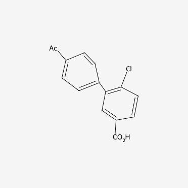 CC(=O)c1ccc(-c2cc(C(=O)O)ccc2Cl)cc1